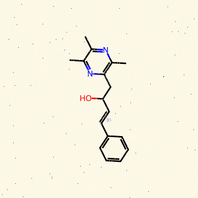 Cc1nc(C)c(CC(O)/C=C/c2ccccc2)nc1C